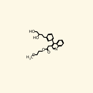 COCCCOC(=O)Cc1cnc2ccccc2c1-c1cccc(CCC(O)CO)c1